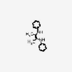 C/C(Nc1ccccc1)=C(\C)Nc1ccccc1